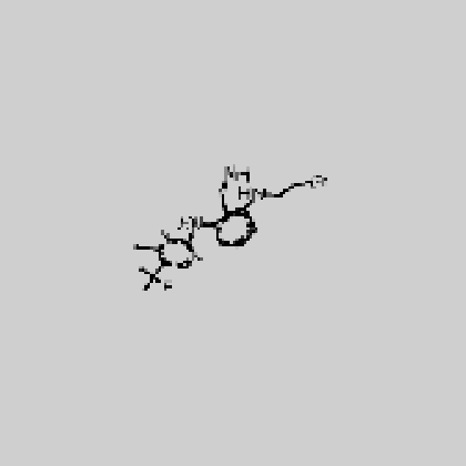 Cc1nc(Nc2cccc(NCCC(C)C)c2C=N)ncc1C(C)(F)F